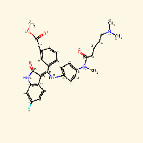 COC(=O)Cc1cccc(C(Nc2ccc(N(C)C(=O)CCCCN(C)C)cc2)=C2C(=O)Nc3cc(F)ccc32)c1